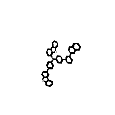 c1cc(-c2ccc(N(c3ccc(-c4ccc5sc6ccccc6c5c4)cc3)c3cccc4c3oc3ccccc34)cc2)cc(-c2ccc3ccccc3c2)c1